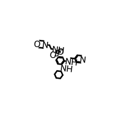 O=S(=O)(NCCN1CCOCC1)c1ccc(NC2CCCCC2)c(NCc2ccncc2)c1